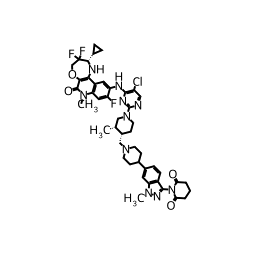 C[C@@H]1CN(c2ncc(Cl)c(Nc3cc4c5c(c(=O)n(C)c4cc3F)OCC(F)(F)[C@H](C3CC3)N5)n2)CC[C@@H]1CN1CCC(c2ccc3c(N4C(=O)CCCC4=O)nn(C)c3c2)CC1